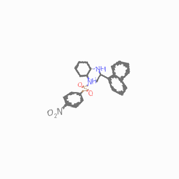 CC(N[C@H]1CCCCC1NS(=O)(=O)c1ccc([N+](=O)[O-])cc1)c1cccc2ccccc12